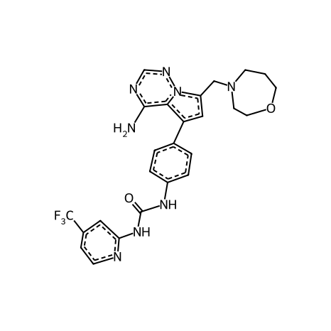 Nc1ncnn2c(CN3CCCOCC3)cc(-c3ccc(NC(=O)Nc4cc(C(F)(F)F)ccn4)cc3)c12